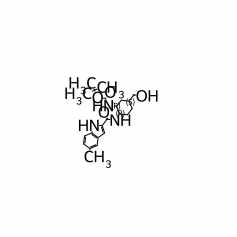 Cc1ccc2[nH]c(C(=O)N[C@@H]3CC[C@H](CO)C[C@H]3NC(=O)OC(C)(C)C)cc2c1